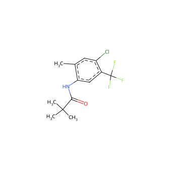 Cc1cc(Cl)c(C(F)(F)F)cc1NC(=O)C(C)(C)C